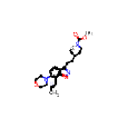 C/C=C/c1c(N2CCOCC2)ccc2c(CCC3CCN(C(=O)OC(C)(C)C)CC3)noc12